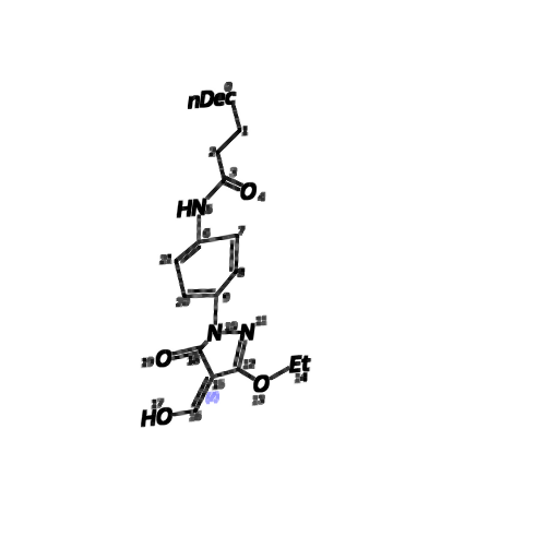 CCCCCCCCCCCCC(=O)Nc1ccc(N2N=C(OCC)/C(=C/O)C2=O)cc1